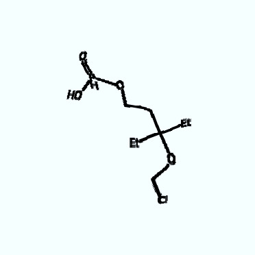 CCC(CC)(CCO[PH](=O)O)OCCl